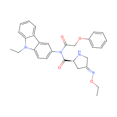 CCO/N=C1/CN[C@H](C(=O)N(C(=O)COc2ccccc2)c2ccc3c(c2)c2ccccc2n3CC)C1